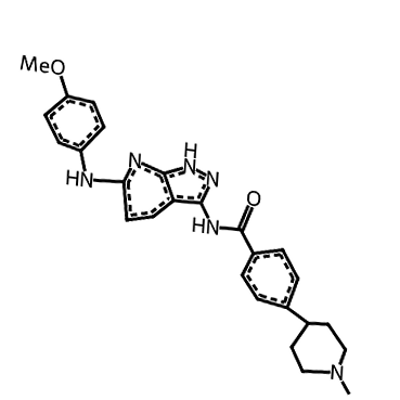 COc1ccc(Nc2ccc3c(NC(=O)c4ccc(C5CCN(C)CC5)cc4)n[nH]c3n2)cc1